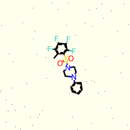 Cc1c(F)c(F)c(F)c(F)c1S(=O)(=O)N1CCN(c2ccccc2)CC1